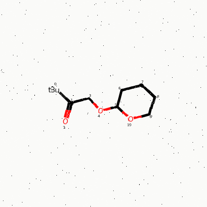 CC(C)(C)C(=O)COC1CCCCO1